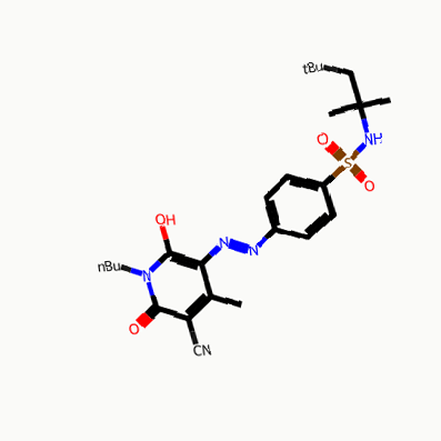 CCCCn1c(O)c(N=Nc2ccc(S(=O)(=O)NC(C)(C)CC(C)(C)C)cc2)c(C)c(C#N)c1=O